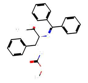 COC(=O)[C@@H](N=C(c1ccccc1)c1ccccc1)[C@H](NC(=O)OC(C)(C)C)c1ccccc1